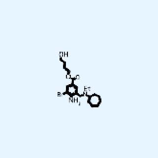 CCN(Cc1cc(C(=O)OCCCCO)cc(Br)c1N)C1CCCCCC1